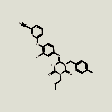 CCCn1c(=O)[nH]/c(=N\c2ccc(Oc3cccc(C#N)n3)c(Cl)c2)n(Cc2ccc(C)cc2)c1=O